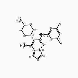 Cc1cc(C)cc(Nc2nn3ccnc3c(N)c2[C@H]2CC[C@H](N)CC2)c1